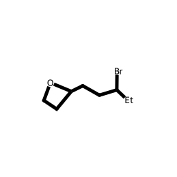 CCC(Br)CCC1CCO1